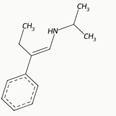 CC/C(=C\NC(C)C)c1ccccc1